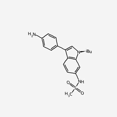 CC[C@H](C)n1cc(-c2ccc(N)cc2)c2ccc(NS(C)(=O)=O)cc21